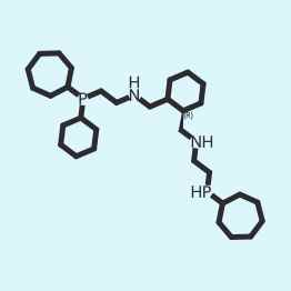 C1CCCC(PCCNC[C@@H]2CCCCC2CNCCP(C2CCCCCC2)C2CCCCC2)CC1